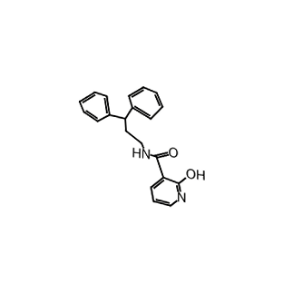 O=C(NCCC(c1ccccc1)c1ccccc1)c1cccnc1O